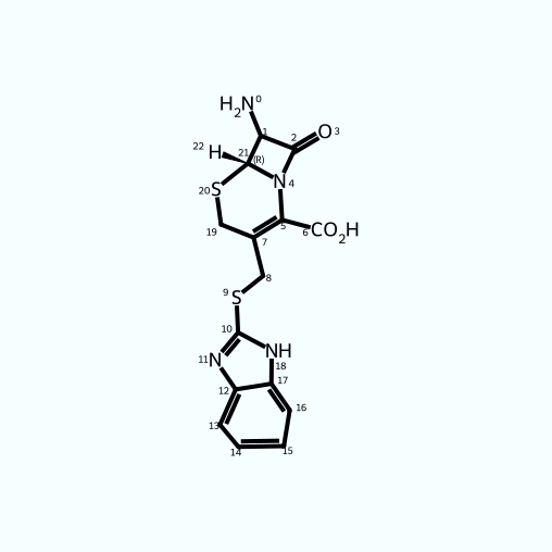 NC1C(=O)N2C(C(=O)O)=C(CSc3nc4ccccc4[nH]3)CS[C@H]12